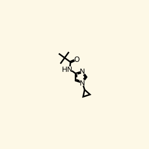 CC(C)(C)C(=O)Nc1cn(C2CC2)cn1